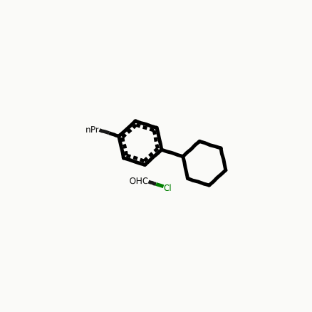 CCCc1ccc(C2CCCCC2)cc1.O=CCl